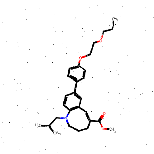 CCCOCCOc1ccc(-c2ccc3c(c2)C=C(C(=O)OC)CCCN3CC(C)C)cc1